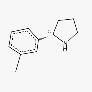 Cc1cccc([C@@H]2CCCN2)c1